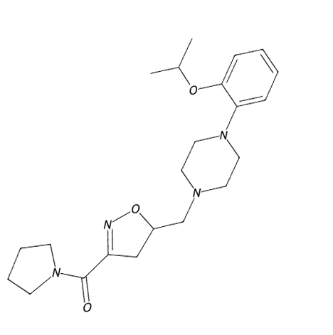 CC(C)Oc1ccccc1N1CCN(CC2CC(C(=O)N3CCCC3)=NO2)CC1